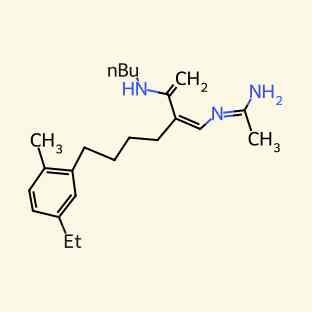 C=C(NCCCC)/C(=C\N=C(/C)N)CCCCc1cc(CC)ccc1C